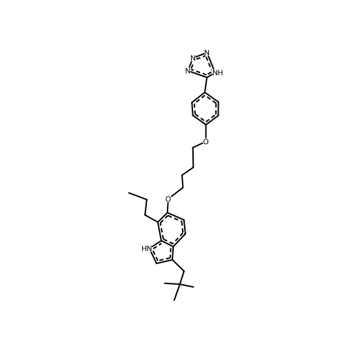 CCCc1c(OCCCCOc2ccc(-c3nnn[nH]3)cc2)ccc2c(CC(C)(C)C)c[nH]c12